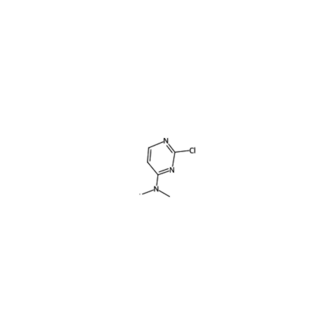 [CH2]N(C)c1ccnc(Cl)n1